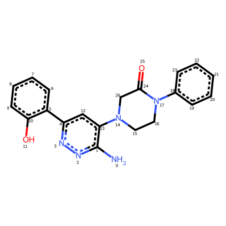 Nc1nnc(-c2ccccc2O)cc1N1CCN(c2ccccc2)C(=O)C1